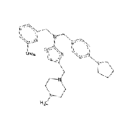 COc1cccc(CN(Cc2ccc(N3CCCC3)cc2)c2nc(CN3CCN(C)CC3)co2)c1